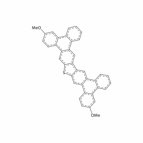 COc1ccc2c(c1)c1ccccc1c1cc3c(cc21)sc1cc2c4ccc(OC)cc4c4ccccc4c2cc13